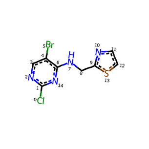 Clc1ncc(Br)c(NCc2nccs2)n1